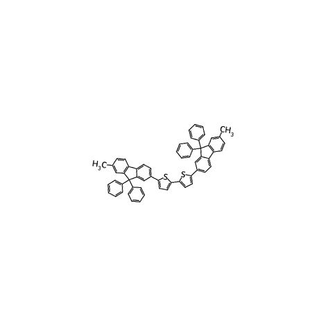 Cc1ccc2c(c1)C(c1ccccc1)(c1ccccc1)c1cc(-c3ccc(-c4ccc(-c5ccc6c(c5)C(c5ccccc5)(c5ccccc5)c5cc(C)ccc5-6)s4)s3)ccc1-2